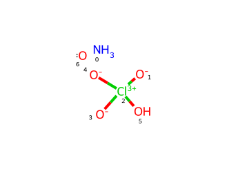 N.[O-][Cl+3]([O-])([O-])O.[O]